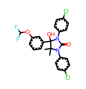 CC1(C)N(c2ccc(Cl)cc2)C(=O)N(c2ccc(Cl)cc2)C1(O)c1cccc(OC(F)F)c1